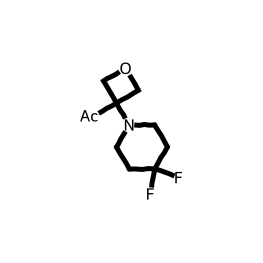 CC(=O)C1(N2CCC(F)(F)CC2)COC1